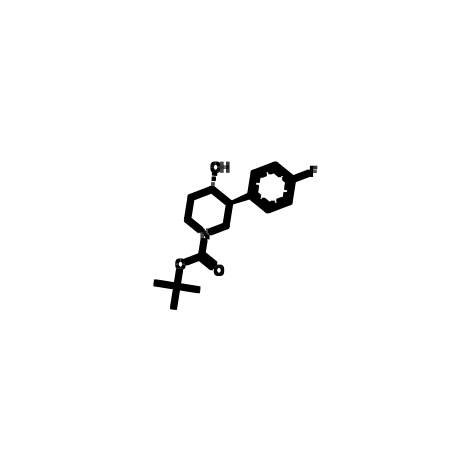 CC(C)(C)OC(=O)N1CC[C@H](O)[C@@H](c2ccc(F)cc2)C1